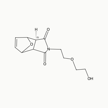 O=C1C2C3C=CC(O3)[C@H]2C(=O)N1CCOCCO